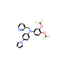 FC(F)Oc1ccc(N(Cc2cccnc2)c2ccc(-n3cccc3)cc2)cc1OC(F)F